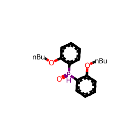 CCCCOc1ccccc1[PH](=O)c1ccccc1OCCCC